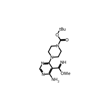 COC(=N)c1c(N)ncnc1N1CCN(C(=O)OC(C)(C)C)CC1